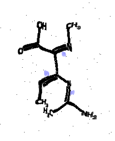 C/C=C(\N=C(/C)N)C(=N/C)/C(=O)O